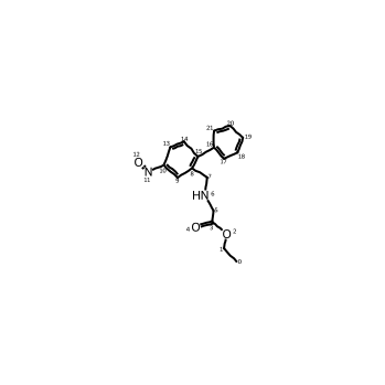 CCOC(=O)CNCc1cc(N=O)ccc1-c1ccccc1